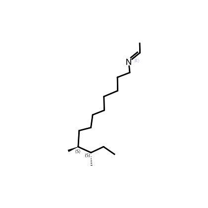 C/C=N/CCCCCCCC[C@H](C)[C@@H](C)CC